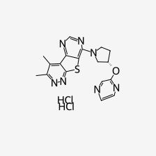 Cc1nnc2sc3c(N4CC[C@H](Oc5cnccn5)C4)ncnc3c2c1C.Cl.Cl